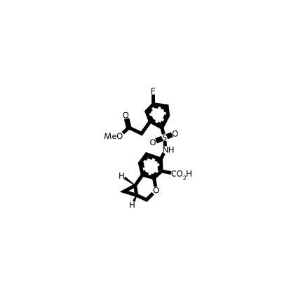 COC(=O)Cc1cc(F)ccc1S(=O)(=O)Nc1ccc2c(c1C(=O)O)OC[C@@H]1C[C@H]21